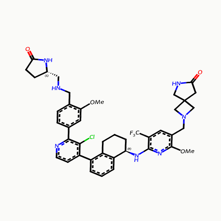 COc1cc(-c2nccc(-c3cccc4c3CCC[C@H]4Nc3nc(OC)c(CN4CC5(CNC(=O)C5)C4)cc3C(F)(F)F)c2Cl)ccc1CNC[C@@H]1CCC(=O)N1